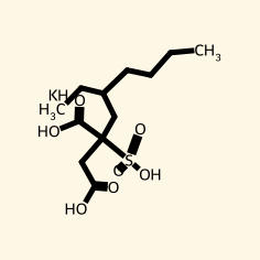 CCCCC(CC)CC(CC(=O)O)(C(=O)O)S(=O)(=O)O.[KH]